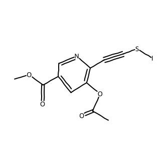 COC(=O)c1cnc(C#CSI)c(OC(C)=O)c1